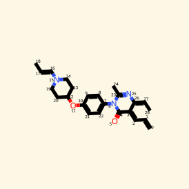 C=C/C=c1/c(=O)n(-c2ccc(OC3CCN(/C=C/C)CC3)cc2)c(C)n/c1=C/C